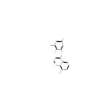 CCOC(=O)c1cc(Br)cc(Nc2ccnc3c(Cl)cccc23)c1N